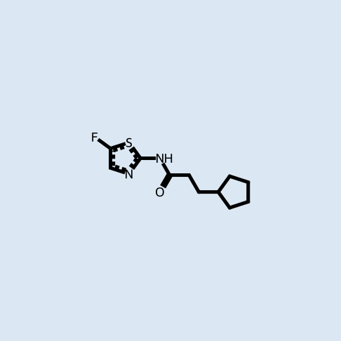 O=C(CCC1CCCC1)Nc1ncc(F)s1